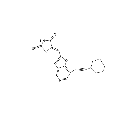 O=C1NC(=S)S/C1=C\c1cc2cncc(C#CC3CCCCC3)c2o1